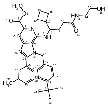 COC(=O)c1nc(NC(CCC(=O)NCCO)C2CCC2)c2c(n1)nc(-c1cccc(C)c1)n2Cc1ccc(C(F)(F)F)cc1